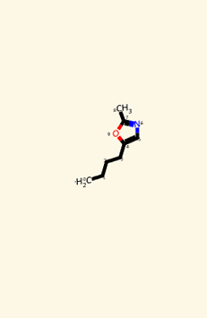 [CH2]CCCc1cnc(C)o1